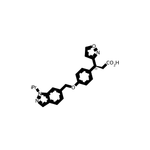 CC(C)n1ncc2ccc(COc3ccc([C@H](CC(=O)O)c4ccon4)cc3)cc21